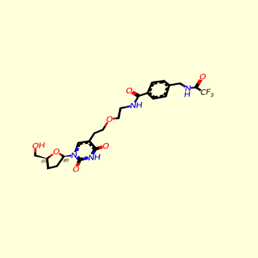 O=C(NCCOCCc1cn([C@H]2CC[C@@H](CO)O2)c(=O)[nH]c1=O)c1ccc(CNC(=O)C(F)(F)F)cc1